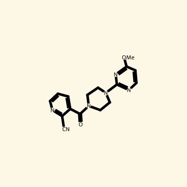 COc1ccnc(N2CCN(C(=O)c3cccnc3C#N)CC2)n1